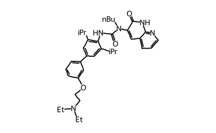 CCCCN(C(=O)Nc1c(C(C)C)cc(-c2cccc(OCCN(CC)CC)c2)cc1C(C)C)c1cc2cccnc2[nH]c1=O